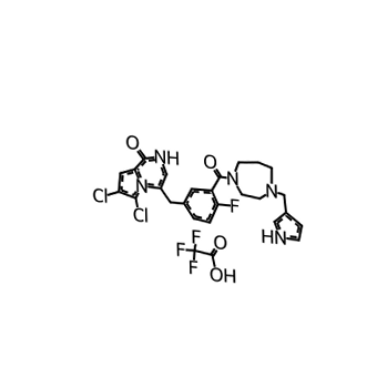 O=C(O)C(F)(F)F.O=C(c1cc(Cc2c[nH]c(=O)c3cc(Cl)c(Cl)n23)ccc1F)N1CCCN(Cc2cc[nH]c2)CC1